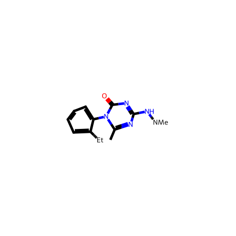 CCc1ccccc1-n1c(C)nc(NNC)nc1=O